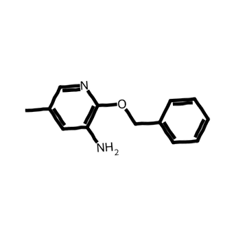 Cc1cnc(OCc2ccccc2)c(N)c1